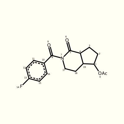 CC(=O)OC1CCC2C(=O)N(C(=O)c3ccc(F)cc3)CCC12